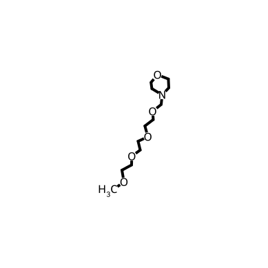 COCCOCCOCCOCN1CCOCC1